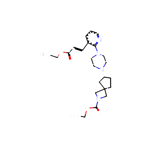 CCOC(=O)/C=C/c1cccnc1N1CCN([C@@H]2CCC3(C2)CN(C(=O)OCC)C3)CC1